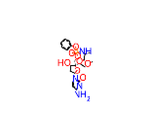 CC[C@]1(COP(=O)(N[C@@H](C)C(=O)OC)Oc2ccccc2)O[C@@H](n2ccc(N)nc2=O)C[C@@H]1O